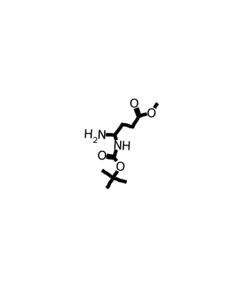 COC(=O)CCC(N)NC(=O)OC(C)(C)C